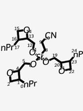 CCCC1COC1CO[Si](CCC#N)(OCC1OCC1CCC)OCC1OCC1CCC